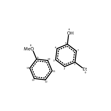 CCc1cccc(O)c1.COc1ccccc1